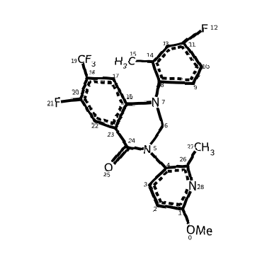 COc1ccc(N2CN(c3ccc(F)cc3C)c3cc(C(F)(F)F)c(F)cc3C2=O)c(C)n1